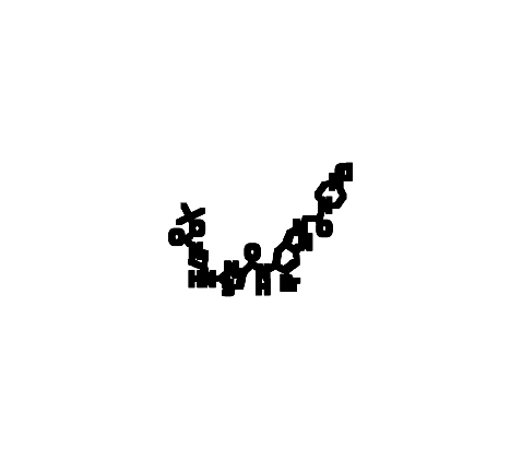 CC(C)(C)OC(=O)N1CC(Nc2nc(C(=O)Nc3cc4cn(CC(=O)N5CCN(Cl)CC5)nc4cc3Br)cs2)C1